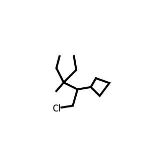 CCC(C)(CC)C(CCl)C1CCC1